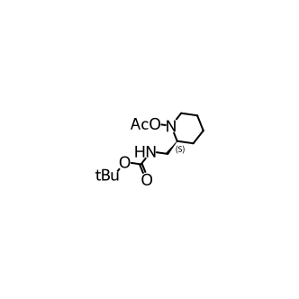 CC(=O)ON1CCCC[C@H]1CNC(=O)OC(C)(C)C